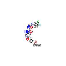 COC(=O)[C@H]1CC[C@H](Oc2ccc(NC(=O)c3nnc(Nc4ccc(F)c(Cl)c4)o3)cn2)CC1